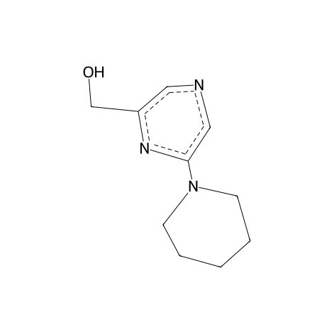 OCc1cncc(N2CCCCC2)n1